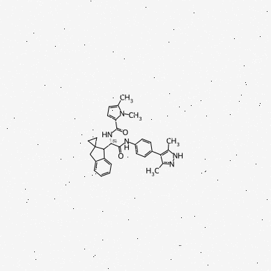 Cc1n[nH]c(C)c1-c1ccc(NC(=O)[C@@H](NC(=O)c2ccc(C)n2C)C2c3ccccc3CC23CC3)cc1